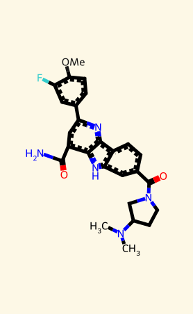 COc1ccc(-c2cc(C(N)=O)c3[nH]c4cc(C(=O)N5CCC(N(C)C)C5)ccc4c3n2)cc1F